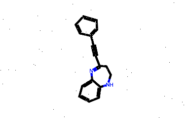 C(#Cc1ccccc1)C1=Nc2ccccc2NCC1